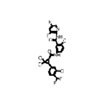 O=C(Nc1ncc(F)cc1F)c1cc(NC(=O)C2C(c3ccc(C(F)F)c(Cl)c3)C2(Cl)Cl)ccc1Cl